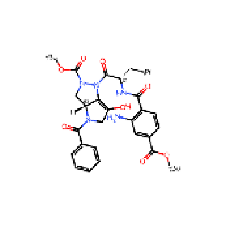 CC(C)C[C@H](NC(=O)c1ccc(C(=O)OC(C)(C)C)cc1N)C(=O)N1C2=C(O)CN(C(=O)c3ccccc3)[C@@H]2CN1C(=O)OC(C)(C)C